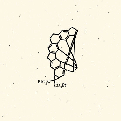 CCOC(=O)C1(C(=O)OCC)C2C3=C4C5=C(C=C6Cc7cc8c9c%10c7C6C5C5=C%10c6c-9c(cc7c6C(C(=C3)C7)C45)CC8)C21